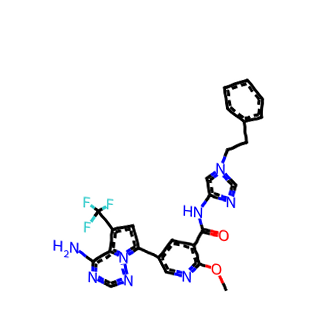 COc1ncc(-c2cc(C(F)(F)F)c3c(N)ncnn23)cc1C(=O)Nc1cn(CCc2ccccc2)cn1